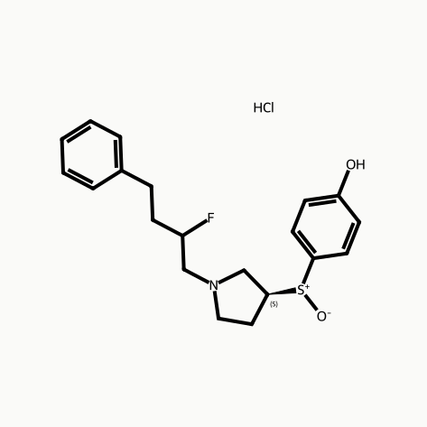 Cl.[O-][S+](c1ccc(O)cc1)[C@H]1CCN(CC(F)CCc2ccccc2)C1